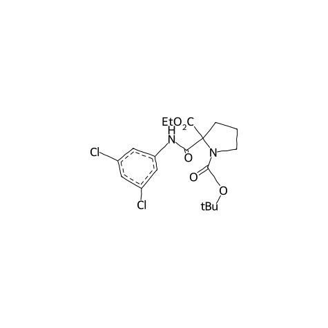 CCOC(=O)C1(C(=O)Nc2cc(Cl)cc(Cl)c2)CCCN1C(=O)OC(C)(C)C